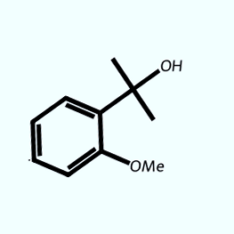 COc1c[c]ccc1C(C)(C)O